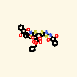 O=C1C(=Cc2nc3sc4c(c3s2)C(C(=O)OCc2ccccc2)(C(=O)OCc2ccccc2)Oc2c-4sc3nc(N=c4c(=O)c5ccccc5c4=O)sc23)C(=O)c2ccccc21